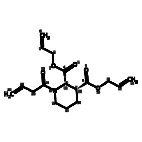 C=CCOC(=O)[C@@H]1[C@H](C(=O)OCC=C)CCCN1C(=O)CC=C